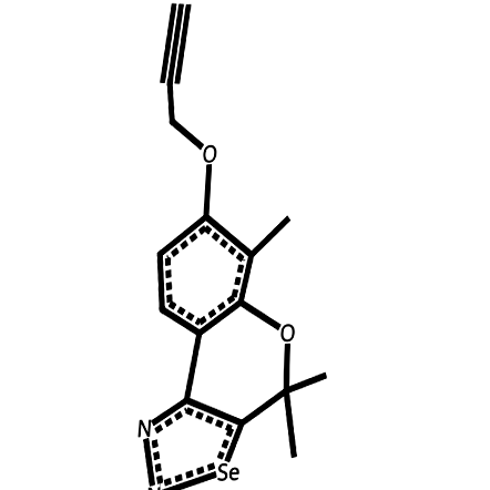 C#CCOc1ccc2c(c1C)OC(C)(C)c1[se]nnc1-2